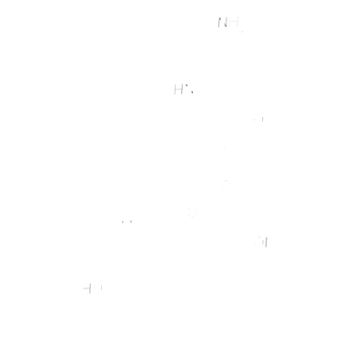 NCN[C@@H](CC(=O)OCO)C(=O)OCO